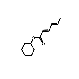 C/C=C/C=C/C(=O)OC1CCCCC1